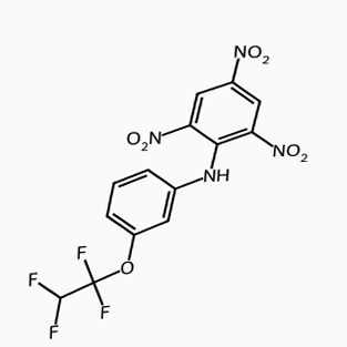 O=[N+]([O-])c1cc([N+](=O)[O-])c(Nc2cccc(OC(F)(F)C(F)F)c2)c([N+](=O)[O-])c1